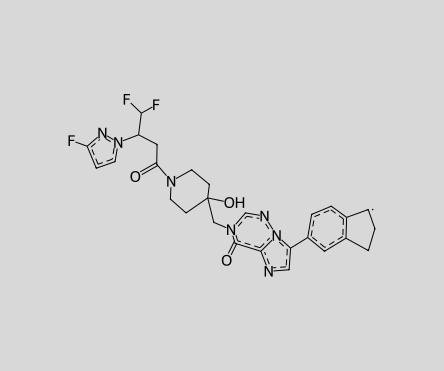 O=C(CC(C(F)F)n1ccc(F)n1)N1CCC(O)(Cn2cnn3c(-c4ccc5c(c4)CC[CH]5)cnc3c2=O)CC1